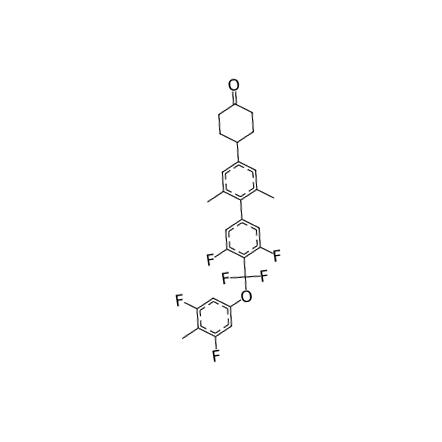 Cc1cc(C2CCC(=O)CC2)cc(C)c1-c1cc(F)c(C(F)(F)Oc2cc(F)c(C)c(F)c2)c(F)c1